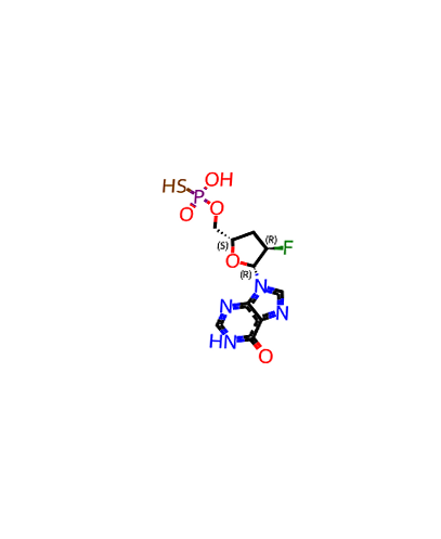 O=c1[nH]cnc2c1ncn2[C@@H]1O[C@H](COP(=O)(O)S)C[C@H]1F